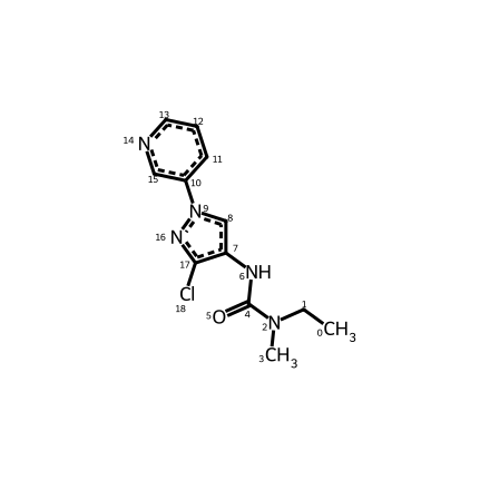 CCN(C)C(=O)Nc1cn(-c2cccnc2)nc1Cl